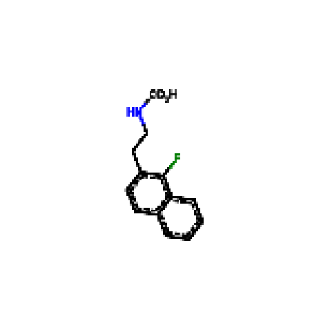 O=C(O)NCCc1ccc2ccccc2c1F